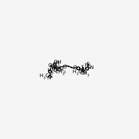 Cc1ncsc1-c1ccc(CNC(=O)[C@@H]2C[C@@H](O)CN2C(=O)[C@@H](NC(=O)CCCOCC#CC#CCOc2ccc(N3C(=S)N(c4ccc(C#N)c(C(F)(F)F)c4)C(=O)C3(C)C)cc2)C(C)(C)C)cc1